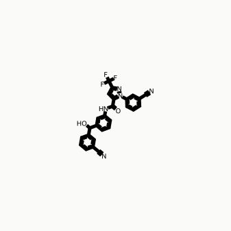 N#Cc1cccc(C(O)c2cccc(NC(=O)c3cc(C(F)(F)F)nn3-c3cccc(C#N)c3)c2)c1